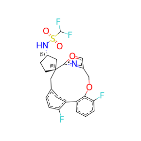 O=S(=O)(N[C@H]1CC[C@@]2(Cc3ccc(F)c(c3)-c3cccc(F)c3OCc3coc2n3)C1)C(F)F